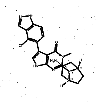 Cn1c(N2[C@@H]3CC[C@H]2C[C@@H](N)C3)nc2[nH]cc(-c3ccc4[nH]ncc4c3Cl)c2c1=O